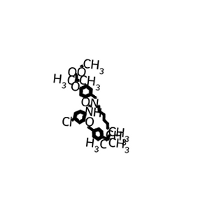 CCCCCCCN(Cc1ccc(OC(C)(C)C(=O)OCC)cc1)C(=O)Nc1ccc(Cl)cc1OCc1ccc(C(C)(C)C)cc1